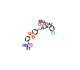 CCNC(=O)c1cccc(S(=O)(=O)c2ccc(CCN(C[C@@H](OC(C)=O)c3cccc(Cl)c3)C(=O)OC(C)(C)C)cc2)c1